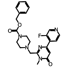 Cn1c(CN2CCN(C(=O)OCc3ccccc3)CC2)nc(-c2ccncc2F)cc1=O